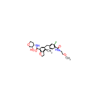 COCCNC(=O)c1ccc(Cc2cc(C(=O)N[C@H]3CCOC[C@@H]3O)c3c(c2C)CCO3)cc1F